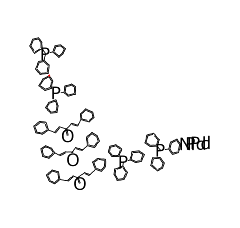 O=C(C=Cc1ccccc1)C=Cc1ccccc1.O=C(C=Cc1ccccc1)C=Cc1ccccc1.O=C(C=Cc1ccccc1)C=Cc1ccccc1.[Ni].[Pd].[Pd].c1ccc(P(c2ccccc2)c2ccccc2)cc1.c1ccc(P(c2ccccc2)c2ccccc2)cc1.c1ccc(P(c2ccccc2)c2ccccc2)cc1.c1ccc(P(c2ccccc2)c2ccccc2)cc1